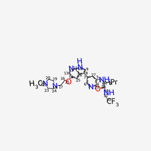 CC(C)[C@H](Nc1cncc(-c2c[nH]c3ncc(OCCN4CCN(C)CC4)cc23)c1)C(=O)NCC(F)(F)F